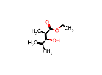 C=C(C)/C(O)=C(\C)C(=O)OCC